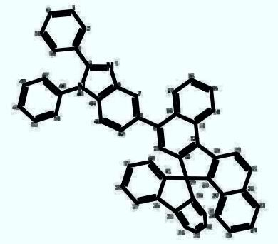 c1ccc(-c2nc3cc(-c4cc5c(c6ccccc46)-c4ccc6ccccc6c4C54c5ccccc5-c5ccccc54)ccc3n2-c2ccccc2)cc1